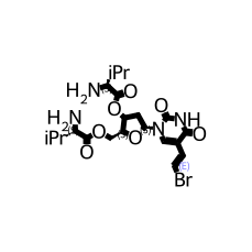 CC(C)[C@H](N)C(=O)OC[C@@H]1O[C@H](n2cc(/C=C/Br)c(=O)[nH]c2=O)CC1OC(=O)[C@@H](N)C(C)C